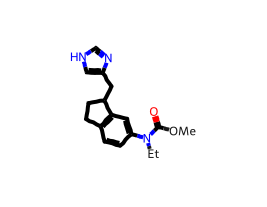 CCN(C(=O)OC)c1ccc2c(c1)C(Cc1c[nH]cn1)CC2